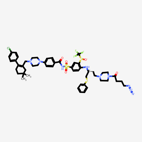 CC1(C)CCC(c2ccc(Cl)cc2)=C(CN2CCN(c3ccc(C(=O)NS(=O)(=O)c4ccc(N[C@H](CCN5CCN(C(=O)CCCN=[N+]=[N-])CC5)CSc5ccccc5)c([S+]([O-])C(F)(F)F)c4)cc3)CC2)C1